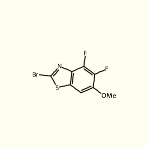 COc1cc2sc(Br)nc2c(F)c1F